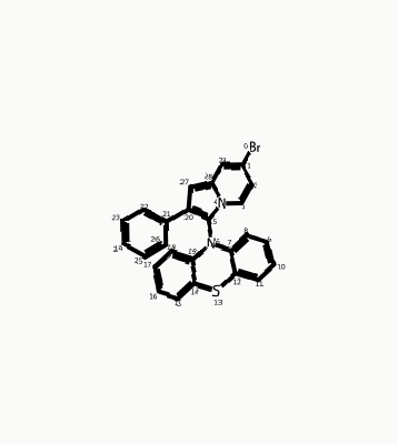 Brc1ccn2c(N3c4ccccc4Sc4ccccc43)c(-c3ccccc3)cc2c1